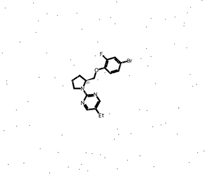 CCc1cnc(N2CCC[C@H]2COc2ccc(Br)cc2F)nc1